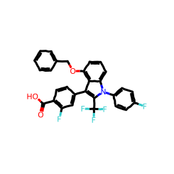 O=C(O)c1ccc(-c2c(C(F)(F)F)n(-c3ccc(F)cc3)c3cccc(OCc4ccccc4)c23)cc1F